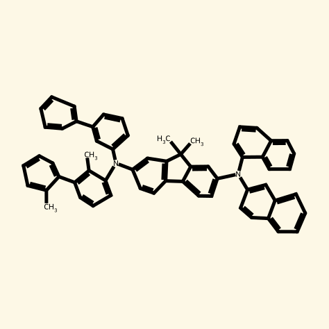 Cc1ccccc1-c1cccc(N(c2cccc(-c3ccccc3)c2)c2ccc3c(c2)C(C)(C)c2cc(N(c4ccc5ccccc5c4)c4cccc5ccccc45)ccc2-3)c1C